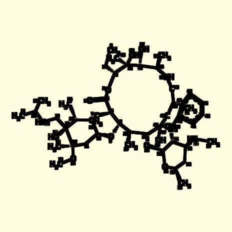 CC[C@H]1OC(=O)[C@H](C)[C@@H](O[C@H]2C[C@@](C)(OC)[C@](O)(CNC(C)C)[C@H](C)O2)[C@H](C)[C@@H](O[C@@H]2O[C@H](C)C[C@H](NC)[C@H]2Oc2ccccc2)[C@](C)(O)C[C@@H](C)CN[C@H](C)[C@@H](O)[C@]1(C)O